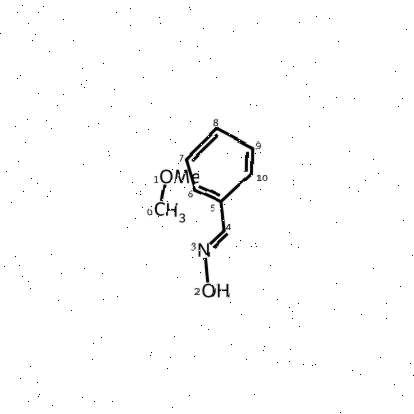 COC.ON=Cc1ccccc1